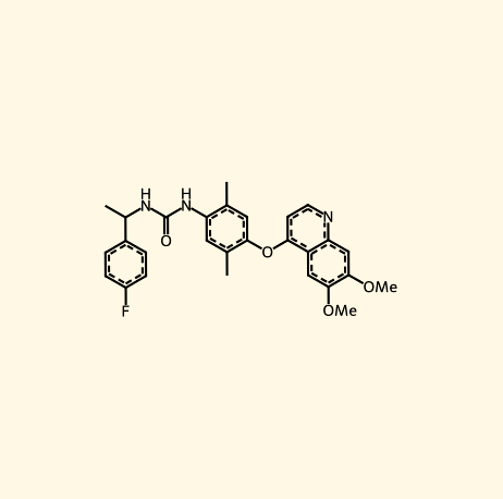 COc1cc2nccc(Oc3cc(C)c(NC(=O)NC(C)c4ccc(F)cc4)cc3C)c2cc1OC